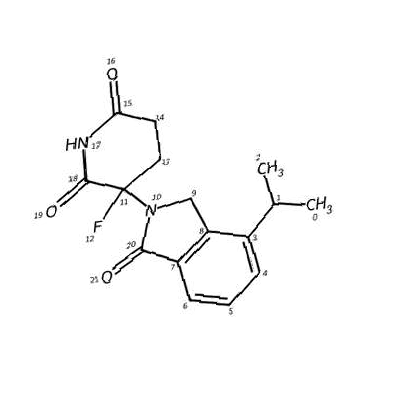 CC(C)c1cccc2c1CN(C1(F)CCC(=O)NC1=O)C2=O